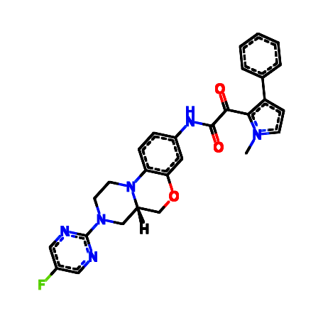 Cn1ccc(-c2ccccc2)c1C(=O)C(=O)Nc1ccc2c(c1)OC[C@@H]1CN(c3ncc(F)cn3)CCN21